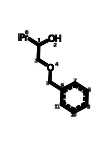 CC(C)C(O)COCc1ccccc1